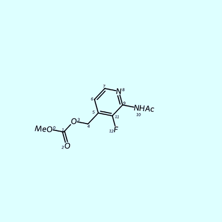 COC(=O)OCc1ccnc(NC(C)=O)c1F